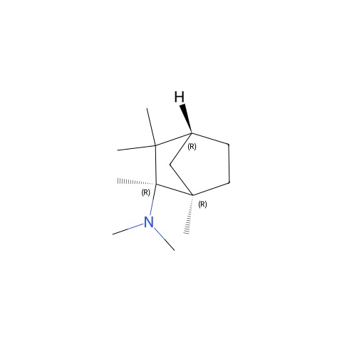 CN(C)[C@@]1(C)C(C)(C)[C@@H]2CC[C@]1(C)C2